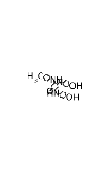 Cc1ccc(NC2=CC(=O)C(Nc3ccc(O)cc3)=CC2=Nc2ccc(O)cc2)cc1